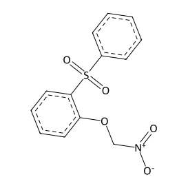 O=[N+]([O-])COc1ccccc1S(=O)(=O)c1ccccc1